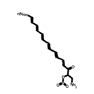 CCCCCCCCCC=CC=CC=CC=CC=CC=CC(=O)C(CN)OP(=O)=O